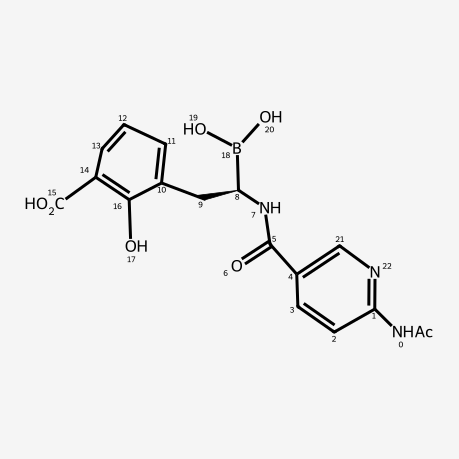 CC(=O)Nc1ccc(C(=O)N[C@@H](Cc2cccc(C(=O)O)c2O)B(O)O)cn1